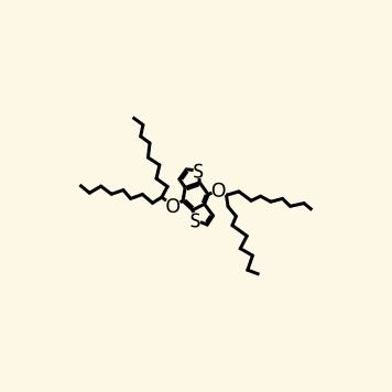 CCCCCCCCC(CCCCCCCC)Oc1c2ccsc2c(OC(CCCCCCCC)CCCCCCCC)c2ccsc12